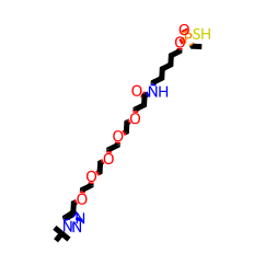 CCP(=O)(S)OCCCCCCNC(=O)CCOCCOCCOCCOCCOCc1cn(C(C)(C)C)nn1